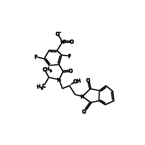 CC(C)N(C[C@H](O)CN1C(=O)c2ccccc2C1=O)C(=O)c1cc(F)cc([N+](=O)[O-])c1F